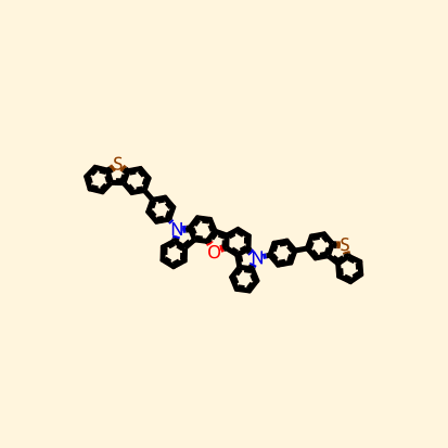 c1ccc2c(c1)sc1ccc(-c3ccc(-n4c5ccccc5c5c6oc7c(ccc8c7c7ccccc7n8-c7ccc(-c8ccc9sc%10ccccc%10c9c8)cc7)c6ccc54)cc3)cc12